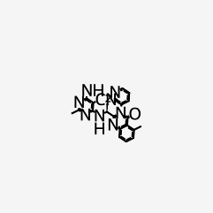 Cc1nc(N)c(C#N)c(N[C@@H](C)c2nc3cccc(C)c3c(=O)n2-c2cccnc2)n1